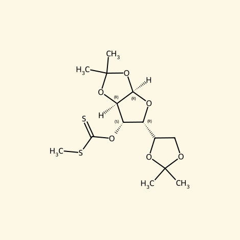 CSC(=S)O[C@@H]1[C@H]2OC(C)(C)O[C@H]2O[C@@H]1C1COC(C)(C)O1